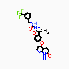 C[C@H]1c2cc(Oc3ccnc4c3CCC(=O)N4)ccc2O[C@H]1NC(=O)NCc1cccc(C(F)(F)F)c1